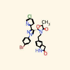 C[C@H]1O[C@@H](c2cn(-c3ccc(Br)cc3)nc2-c2ccc(Cl)cn2)N(CCc2ccc3c(c2)CC(=O)N3)C1=O